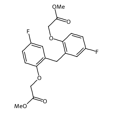 COC(=O)COc1ccc(F)cc1Cc1cc(F)ccc1OCC(=O)OC